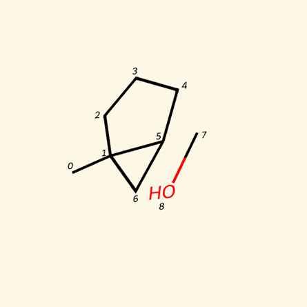 CC12CCCC1C2.CO